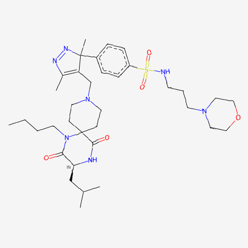 CCCCN1C(=O)[C@H](CC(C)C)NC(=O)C12CCN(CC1=C(C)N=NC1(C)c1ccc(S(=O)(=O)NCCCN3CCOCC3)cc1)CC2